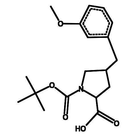 COc1cccc(CC2CC(C(=O)O)N(C(=O)OC(C)(C)C)C2)c1